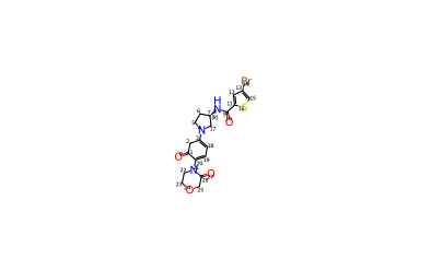 O=C1CC(N2CC[C@@H](NC(=O)c3cc(Br)cs3)C2)=CC=C1N1CCOCC1=O